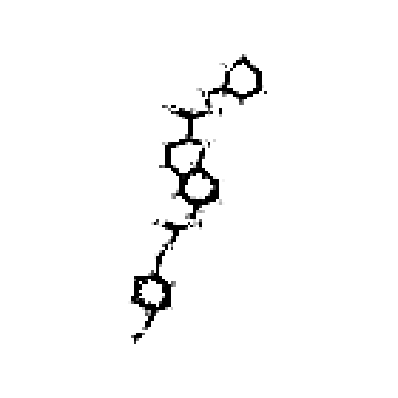 COc1ccc(COC(=O)Nc2ccc3c(c2)CCC(C(=O)NOC2CCCCO2)O3)cc1